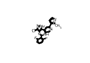 Cn1nccc1-c1cc2c(cn1)NC(c1c(F)cccc1F)=Nc1c(Cl)n[nH]c1-2